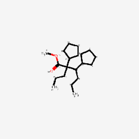 CCCC(C1CCCC1)C(CCC)(C(=O)O[SiH3])C1CCCC1